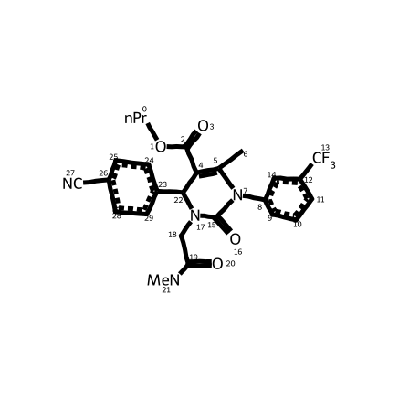 CCCOC(=O)C1=C(C)N(c2cccc(C(F)(F)F)c2)C(=O)N(CC(=O)NC)C1c1ccc(C#N)cc1